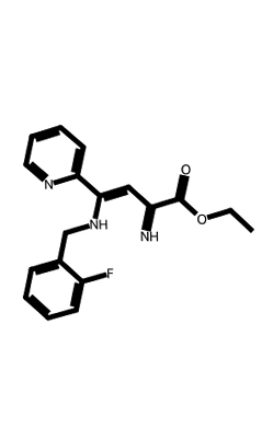 CCOC(=O)C(=N)/C=C(\NCc1ccccc1F)c1ccccn1